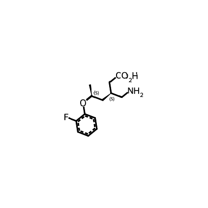 C[C@@H](C[C@H](CN)CC(=O)O)Oc1ccccc1F